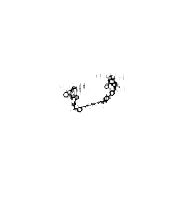 CNC(C)C(=O)N[C@H](C(=O)N1CCCC1c1nc(C(=O)c2cccc(OCCOCCOCCC(=O)N3CCN(c4ccc(Nc5ncc6c(C)c(C(C)=O)c(=O)n(C7CCCC7)c6n5)nc4)CC3)c2)cs1)C1CCCCC1